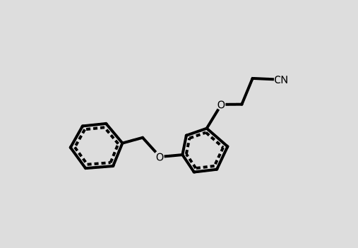 N#CCCOc1cccc(OCc2ccccc2)c1